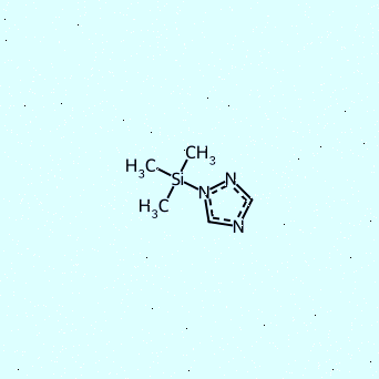 C[Si](C)(C)n1cncn1